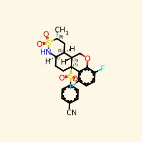 C[C@@H]1C[C@@H]2[C@@H](CC[C@@]3(S(=O)(=O)c4ccc(C#N)cc4)c4c(F)ccc(F)c4OC[C@@H]23)NS1(=O)=O